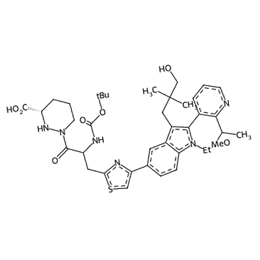 CCn1c(-c2cccnc2C(C)OC)c(CC(C)(C)CO)c2cc(-c3csc(CC(NC(=O)OC(C)(C)C)C(=O)N4CCC[C@@H](C(=O)O)N4)n3)ccc21